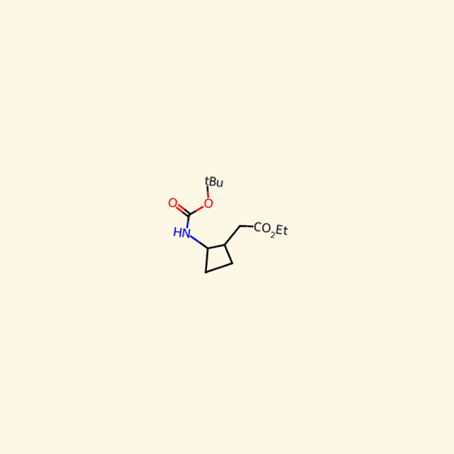 CCOC(=O)CC1CCC1NC(=O)OC(C)(C)C